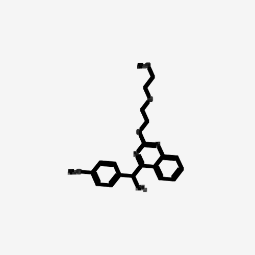 COCCOCCOc1nc(C(N)c2ccc(OC)cc2)c2ccccc2n1